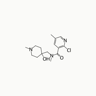 Cc1cnc(Cl)c(C(=O)N(C)CC2(O)CCN(C)CC2)c1